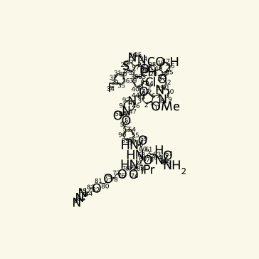 COc1ccccc1-c1nccc(COc2ccccc2C[C@@H](Oc2ncnc3sc(-c4ccc(F)cc4)c(-c4ccc(OCCN5CCN(C(=O)OCc6ccc(NC(=O)[C@H](CCCNC(N)=O)NC(=O)[C@@H](NC(=O)COCCOCCOCCN=[N+]=[N-])C(C)C)cc6)CC5)c(Cl)c4C)c23)C(=O)O)n1